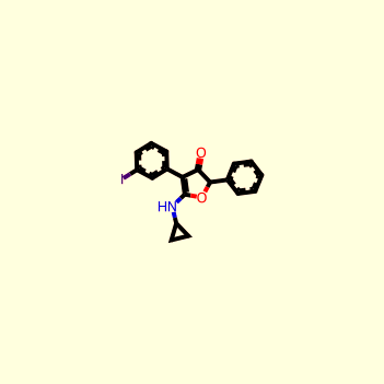 O=C1C(c2cccc(I)c2)=C(NC2CC2)OC1c1ccccc1